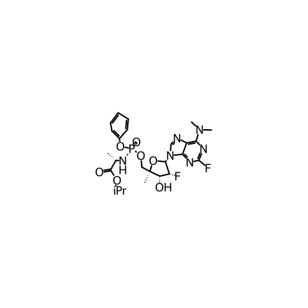 CC(C)OC(=O)[C@H](C)N[P@](=O)(OC[C@@]1(C)O[C@@H](n2cnc3c(N(C)C)nc(F)nc32)[C@H](F)[C@@H]1O)Oc1ccccc1